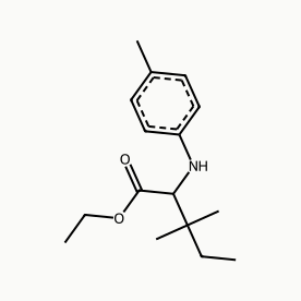 CCOC(=O)C(Nc1ccc(C)cc1)C(C)(C)CC